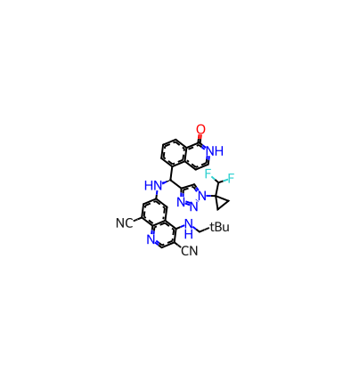 CC(C)(C)CNc1c(C#N)cnc2c(C#N)cc(N[C@H](c3cn(C4(C(F)F)CC4)nn3)c3cccc4c(=O)[nH]ccc34)cc12